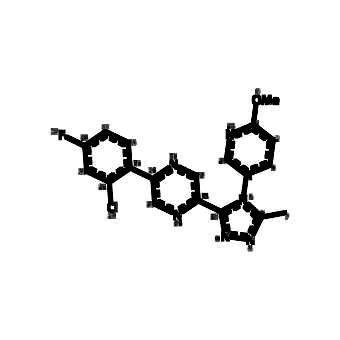 COc1ccc(-n2c(C)nnc2-c2cnc(-c3ccc(F)cc3Cl)cn2)cn1